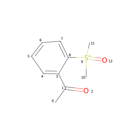 CC(=O)c1ccccc1[S+](C)(C)=O